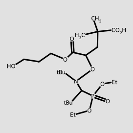 CCOP(=O)(OCC)C(N(OC(CC(C)(C)C(=O)O)C(=O)OCCCO)C(C)(C)C)C(C)(C)C